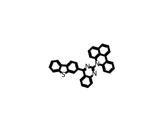 c1ccc2c(c1)-c1cccc3cccc(c13)N2c1nc(-c2ccc3c(c2)sc2ccccc23)c2ccccc2n1